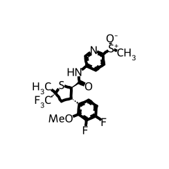 COc1c([C@@H]2C[C@](C)(C(F)(F)F)S[C@H]2C(=O)Nc2ccc([S+](C)[O-])nc2)ccc(F)c1F